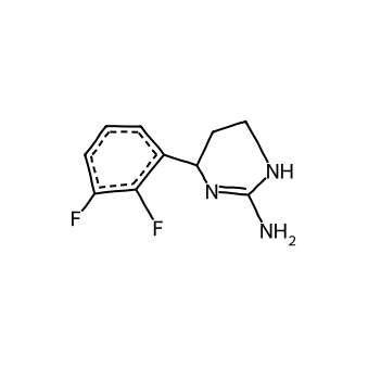 NC1=NC(c2cccc(F)c2F)CCN1